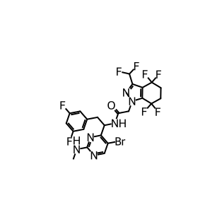 CNc1ncc(Br)c(C(Cc2cc(F)cc(F)c2)NC(=O)Cn2nc(C(F)F)c3c2C(F)(F)CCC3(F)F)n1